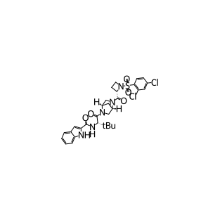 CC(C)(C)[C@H](NC(=O)c1cc2ccccc2[nH]1)C(=O)N1C[C@@H]2C[C@H]1CN2C(=O)[C@@H]1CCN1S(=O)(=O)c1ccc(Cl)cc1Cl